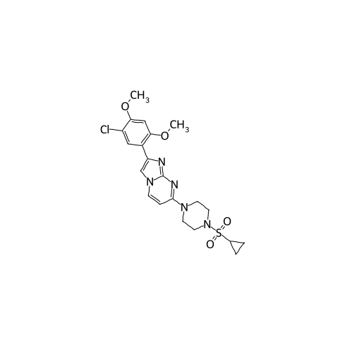 COc1cc(OC)c(-c2cn3ccc(N4CCN(S(=O)(=O)C5CC5)CC4)nc3n2)cc1Cl